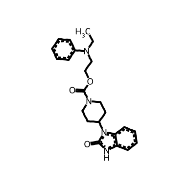 CCN(CCOC(=O)N1CCC(n2c(=O)[nH]c3ccccc32)CC1)c1ccccc1